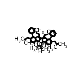 CCCCC1=Cc2c(ccc(CC(C)C)c2-c2ccccc2)[CH]1[Zr]([Cl])([Cl])([CH]1C(CCCC)=Cc2c1ccc(CC(C)C)c2-c1ccccc1)[SiH](C)C